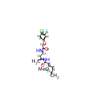 C=C(F)/C=C\C(=C\C(=O)NC(=C)CCNC(=O)COc1ccc(Cl)c(F)c1)OC